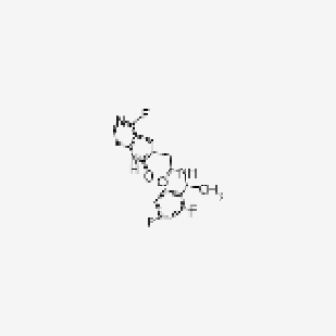 C[C@H](NC(=O)Cc1cc2c(F)nccc2[nH]c1=O)c1ccc(F)cc1F